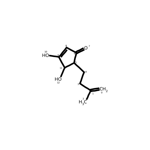 C=C(C)CCC1C(=O)C=C(O)C1O